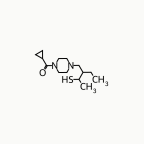 CCC(CN1CCN(C(=O)C2CC2)CC1)C(C)S